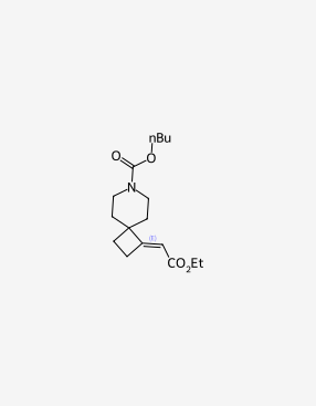 CCCCOC(=O)N1CCC2(CC/C2=C\C(=O)OCC)CC1